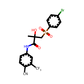 CC(O)(CS(=O)(=O)c1ccc(Br)cc1)C(=O)Nc1ccc(C#N)c(C(F)(F)F)c1